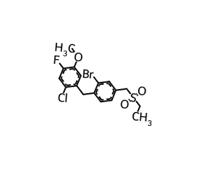 CCS(=O)(=O)Cc1ccc(Cc2cc(OC)c(F)cc2Cl)c(Br)c1